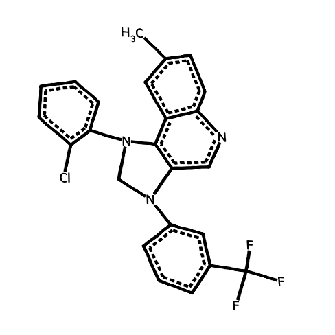 Cc1ccc2ncc3c(c2c1)N(c1ccccc1Cl)CN3c1cccc(C(F)(F)F)c1